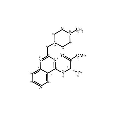 COC(=O)[C@@H](Nc1nc(CN2CCN(C)CC2)nc2ccccc12)C(C)C